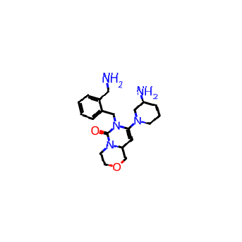 NCc1ccccc1CN1C(=O)N2CCOCC2C=C1N1CCCC(N)C1